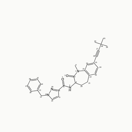 CN1C(=O)C(NC(=O)c2ccn(Cc3ccccc3)n2)CCc2ccc(C#CC(C)(C)C)cc21